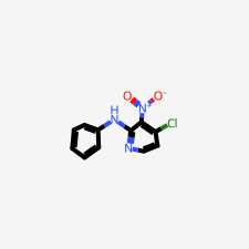 O=[N+]([O-])c1c(Cl)ccnc1Nc1ccccc1